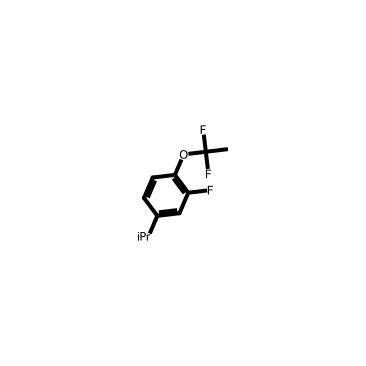 CC(C)c1ccc(OC(C)(F)F)c(F)c1